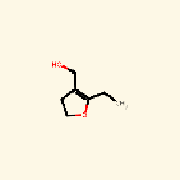 CCC1=C(CO)CCO1